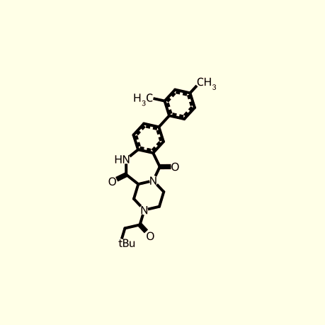 Cc1ccc(-c2ccc3c(c2)C(=O)N2CCN(C(=O)CC(C)(C)C)CC2C(=O)N3)c(C)c1